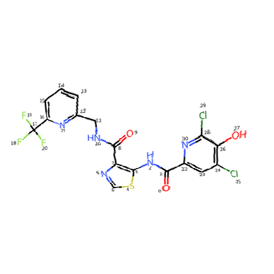 O=C(Nc1scnc1C(=O)NCc1cccc(C(F)(F)F)n1)c1cc(Cl)c(O)c(Cl)n1